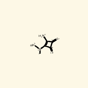 CCCN(C)c1c(N)c(=O)c1=S